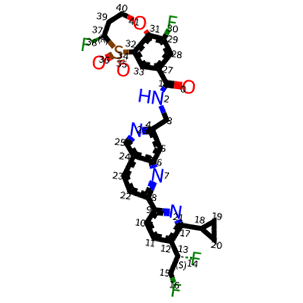 O=C(NCc1cc2nc(-c3ccc([C@H](F)CF)c(C4CC4)n3)ccc2cn1)c1cc(F)c2c(c1)S(=O)(=O)[C@@H](F)CCO2